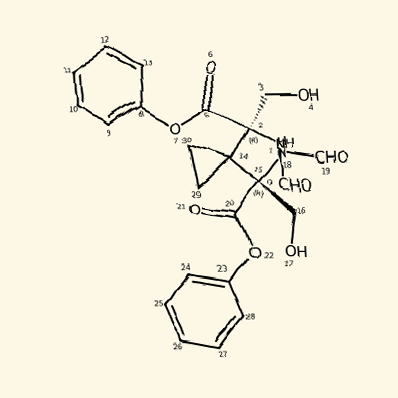 O=CN[C@](CO)(C(=O)Oc1ccccc1)C1([C@](CO)(NC=O)C(=O)Oc2ccccc2)CC1